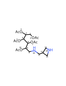 CC(=O)OCC(OC(C)=O)C(OC(C)=O)C(OC(C)=O)C(CNCC1CNC1)OC(C)=O